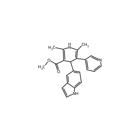 COC(=O)C1=C(C)NC(C)=C(c2cccnc2)C1c1ccc2[nH]ccc2c1